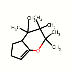 CC1(C)OC2=CCCC2C(C)(C)C1(C)C